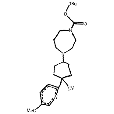 COc1ccc(C2(C#N)CCC(N3CCCN(C(=O)OC(C)(C)C)CC3)CC2)nc1